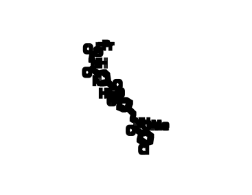 CCCOC(=O)CNC(=O)c1ccc(C(=O)NS(=O)(=O)c2ccc(CCNC(=O)c3cc(Cl)ccc3OC)cc2)cn1